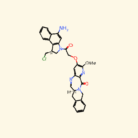 COc1nc2c(cc1OCC(=O)N1C[C@@H](CCl)c3c1cc(N)c1ccccc31)N=C[C@@H]1Cc3ccccc3CN1C2=O